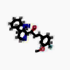 COc1cc(/C=C/C(=O)c2nccc3c2[nH]c2ccccc23)ccc1F